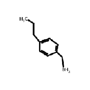 BCc1ccc(CCC)cc1